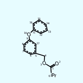 CC(C)C(=O)OCc1cccc(Oc2ccccc2)c1